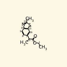 CCOC(=O)C(C)c1ccc2nc(C)sc2c1